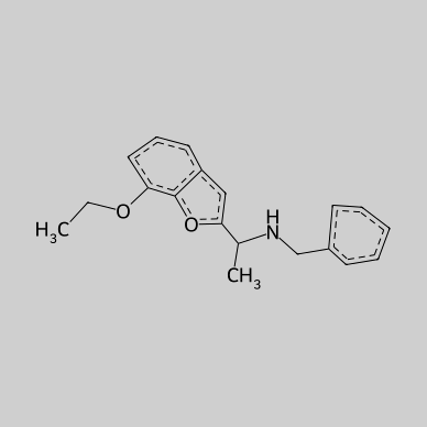 CCOc1cccc2cc(C(C)NCc3ccccc3)oc12